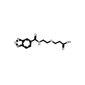 O=C(O)CCOCCNC(=O)c1ccc2nonc2c1